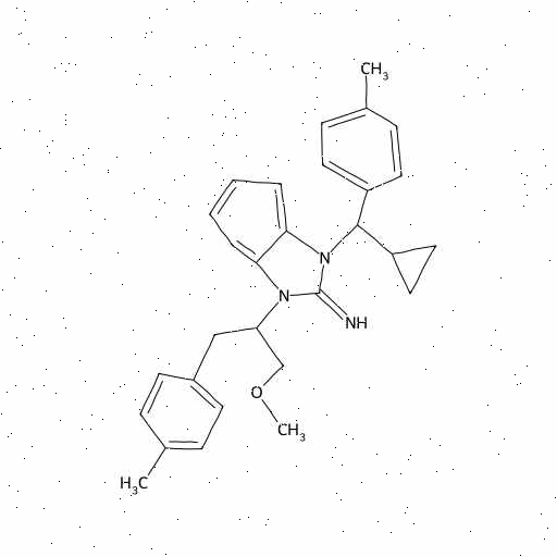 COCC(Cc1ccc(C)cc1)n1c(=N)n(C(c2ccc(C)cc2)C2CC2)c2ccccc21